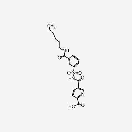 CCCCCCNC(=O)c1cccc(S(=O)(=O)NC(=O)c2ccc(C(=O)O)nc2)c1